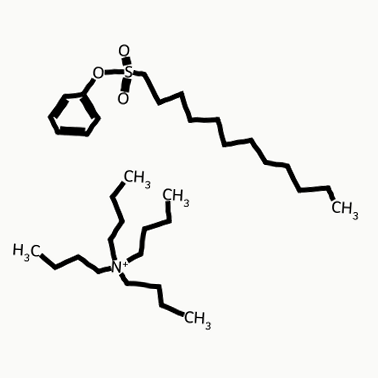 CCCCCCCCCCCCS(=O)(=O)Oc1ccccc1.CCCC[N+](CCCC)(CCCC)CCCC